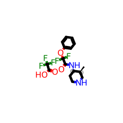 C[C@H]1CNCC[C@@H]1NC(=O)C(F)(F)Oc1ccccc1.O=C(O)C(F)(F)F